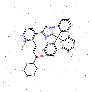 O=C(C=Cc1c(-c2c[nH]c(C(c3ccccc3)(c3ccccc3)c3ccccc3)n2)ccnc1F)C1CCCCC1